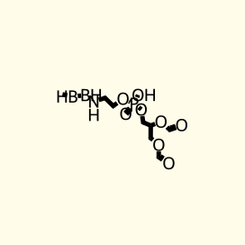 CBBNCCOP(=O)(O)OCC(COC=O)OC=O